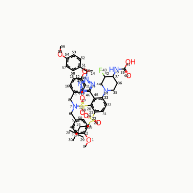 COc1ccc(CN(Cc2ccc(OC)cc2)S(=O)(=O)c2c(S(=O)(=O)CC[Si](C)(C)C)ccc(N3CCC(NC(=O)O)C(F)C3)c2-c2nnn(Cc3ccc(OC)cc3)n2)cc1